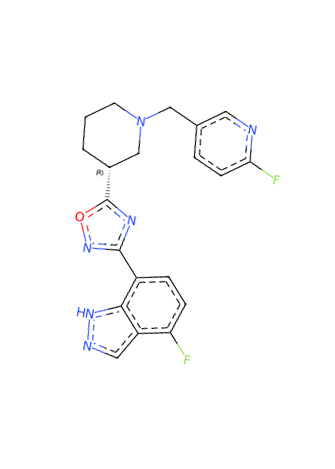 Fc1ccc(CN2CCC[C@@H](c3nc(-c4ccc(F)c5cn[nH]c45)no3)C2)cn1